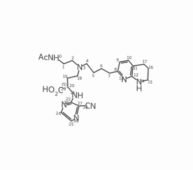 CC(=O)NCCN(CCCCc1ccc2c(n1)NCCC2)CC[C@H](Nc1nccnc1C#N)C(=O)O